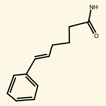 [NH]C(=O)CCCC=Cc1ccccc1